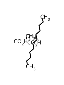 CC(=O)O.CC(=O)O.CCCCCCCCCCCC